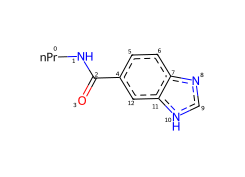 CCCNC(=O)c1ccc2nc[nH]c2c1